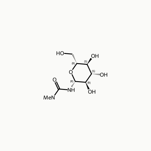 CNC(=O)N[C@@H]1O[C@H](CO)[C@@H](O)[C@H](O)[C@H]1O